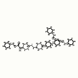 O=C(NC1CCN(CCC2CCN(c3ccc(-c4ccc(OCc5ccccc5)nc4OCc4ccccc4)cc3)CC2)CC1)OCc1ccccc1